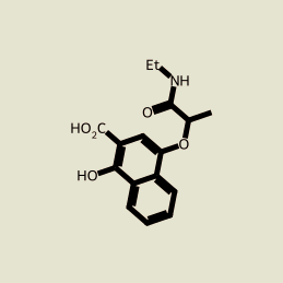 CCNC(=O)C(C)Oc1cc(C(=O)O)c(O)c2ccccc12